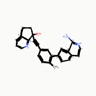 Cc1ccc(C#CC2(O)CCc3cccnc32)cc1-c1ccc2ccnc(N)c2c1